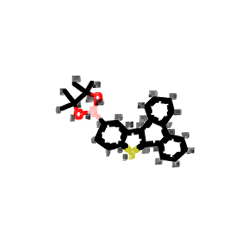 CC1(C)OB(c2ccc3sc4c5ccccc5c5ccccc5c4c3c2)OC1(C)C